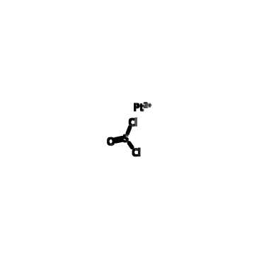 O=S(Cl)Cl.[Pt+2]